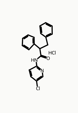 Cl.O=C(Nc1ccc(Cl)cn1)C(Cc1ccccc1)c1ccccc1